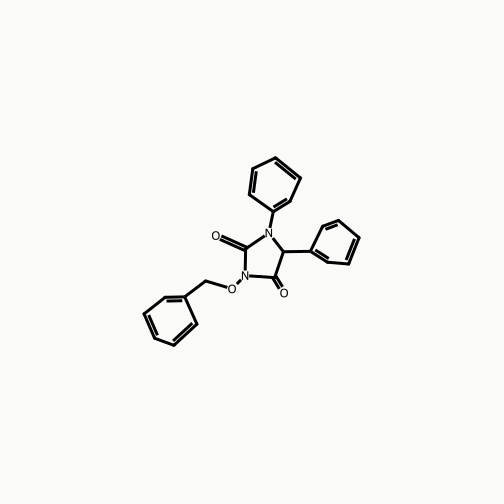 O=C1C(c2ccccc2)N(c2ccccc2)C(=O)N1OCc1ccccc1